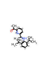 CC(=O)c1cccc(C(C)Nc2c(C(C)C)cccc2C(C)C)n1